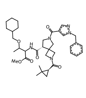 COC(=O)C(NC(=O)[C@@H]1CN(C(=O)c2cnn(Cc3ccccc3)c2)CC12CN(C(=O)[C@H]1CC1(C)C)C2)C(C)OCC1CCCCC1